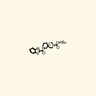 CC(C)(C)OC(=O)N1CCC2(CCCN(C(=O)c3nc4ccccc4s3)C2)CC1